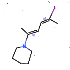 C/C(I)=C\C=C(/C)N1CCCCC1